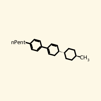 CCCCCc1ccc(C2=CCC([C@H]3CC[C@H](C)CC3)C=C2)cc1